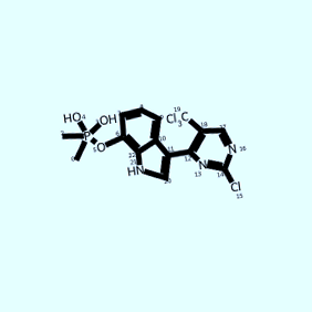 CP(C)(O)(O)Oc1cccc2c(-c3nc(Cl)ncc3C(Cl)(Cl)Cl)c[nH]c12